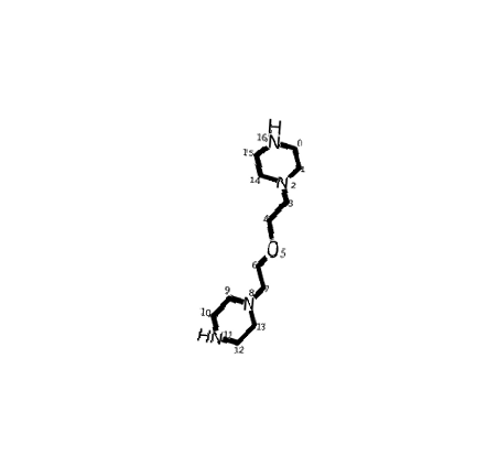 C1CN(CCOCCN2CCNCC2)CCN1